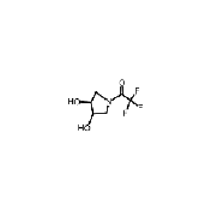 O=C(N1CC(O)C(O)C1)C(F)(F)F